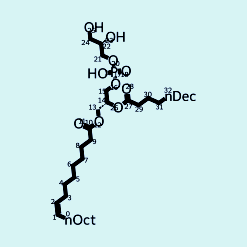 CCCCCCCC/C=C\CCCCCCCC(=O)OC[C@H](COP(=O)(O)OC[C@@H](O)CO)OC(=O)CCCCCCCCCCCCC